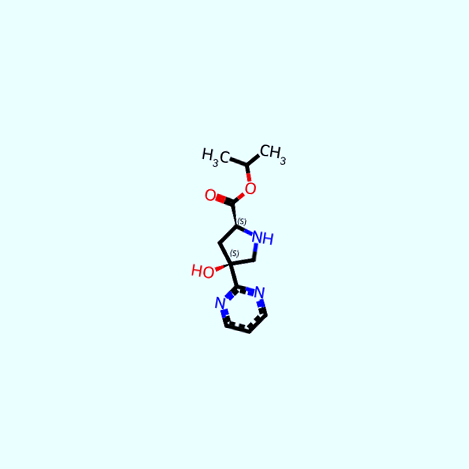 CC(C)OC(=O)[C@@H]1C[C@@](O)(c2ncccn2)CN1